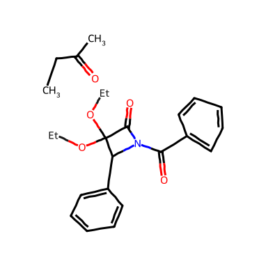 CCC(C)=O.CCOC1(OCC)C(=O)N(C(=O)c2ccccc2)C1c1ccccc1